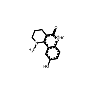 CN1CCCc2c1c1cc(O)ccc1[nH]c2=O.Cl